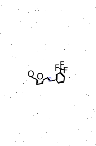 O=Cc1ccc(/C=C/c2cccc(C(F)(F)F)c2)o1